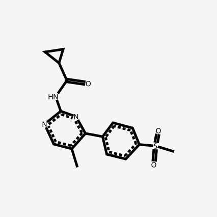 Cc1cnc(NC(=O)C2CC2)nc1-c1ccc(S(C)(=O)=O)cc1